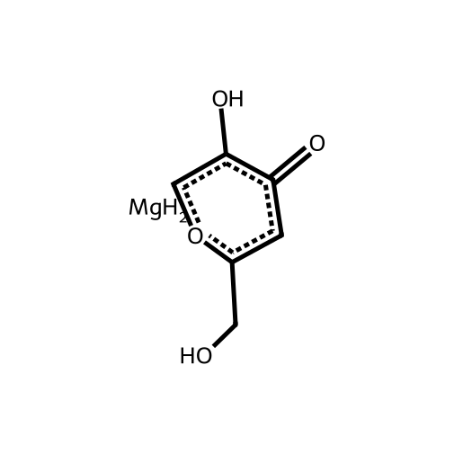 O=c1cc(CO)occ1O.[MgH2]